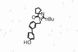 CCCCC1=NC2(CCCC2)C(=O)N1Cc1cccc(-c2ccc(O)cc2)c1